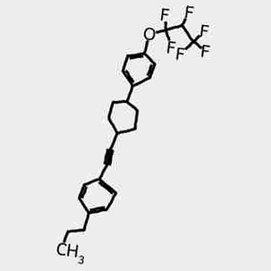 CCCc1ccc(C#CC2CCC(c3ccc(OC(F)(F)C(F)C(F)(F)F)cc3)CC2)cc1